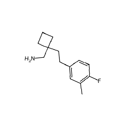 Cc1cc(CCC2(CN)CCC2)ccc1F